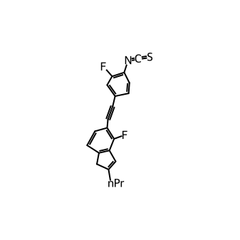 CCCC1=Cc2c(ccc(C#Cc3ccc(N=C=S)c(F)c3)c2F)C1